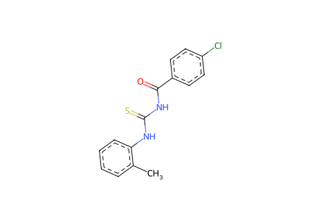 Cc1ccccc1NC(=S)NC(=O)c1ccc(Cl)cc1